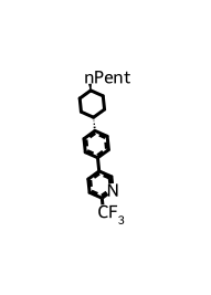 CCCCC[C@H]1CC[C@H](c2ccc(-c3ccc(C(F)(F)F)nc3)cc2)CC1